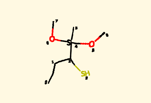 CCC(S)[Si](C)(OC)OC